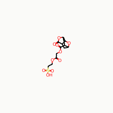 O=C(COC(=O)C1C2CC3C(=O)OC1C3O2)OCCS(=O)(=O)O